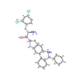 N[C@H](Cc1ccc(Cl)cc1Cl)C(=O)N1Cc2ccc(NC(c3ccccc3)c3ccccc3)cc2C1